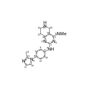 CNc1nc(Nc2ccc(-n3ccnc3C)cc2)nc2c1CNCC2